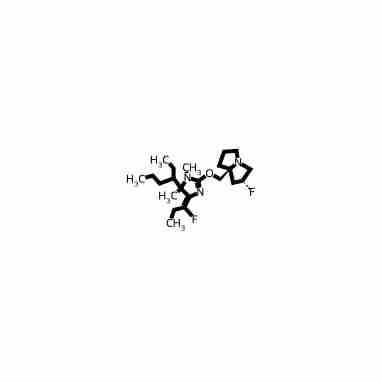 CCCC(CC)C1(C)/C(=C(/F)CC)N=C(OC[C@@]23CCCN2C[C@H](F)C3)N1C